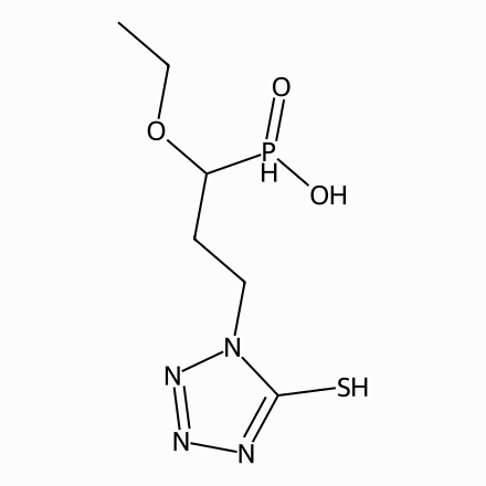 CCOC(CCn1nnnc1S)[PH](=O)O